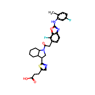 Cc1ccc(F)cc1Nc1nc2ccc(CC(=O)N3CC(c4ncc(CCC(=O)O)s4)C4CCCCC43)c(F)c2o1